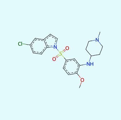 COc1ccc(S(=O)(=O)n2ccc3cc(Cl)ccc32)cc1NC1CCN(C)CC1